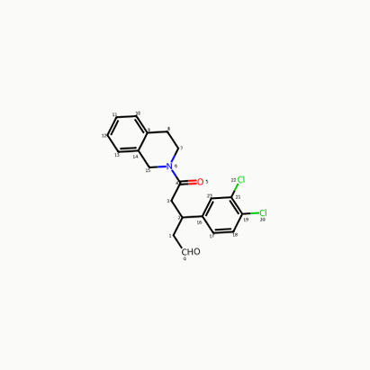 O=CCC(CC(=O)N1CCc2ccccc2C1)c1ccc(Cl)c(Cl)c1